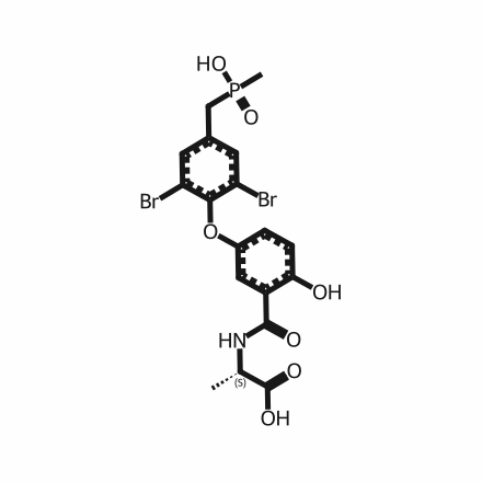 C[C@H](NC(=O)c1cc(Oc2c(Br)cc(CP(C)(=O)O)cc2Br)ccc1O)C(=O)O